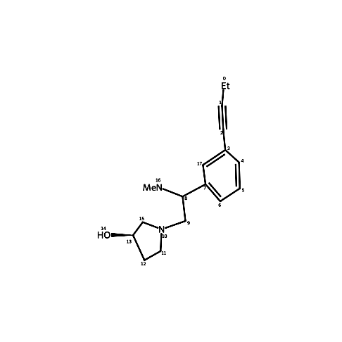 CCC#Cc1cccc(C(CN2CC[C@@H](O)C2)NC)c1